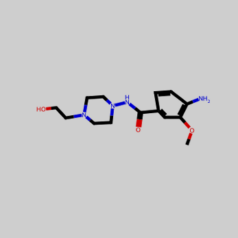 COc1cc(C(=O)NN2CCN(CCO)CC2)ccc1N